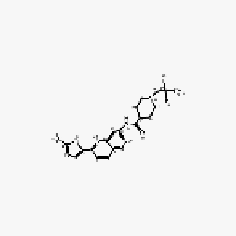 Cc1ncc(-c2ccc3cnc(NC(=O)C4CCN(CC(C)(F)F)CC4)cc3n2)o1